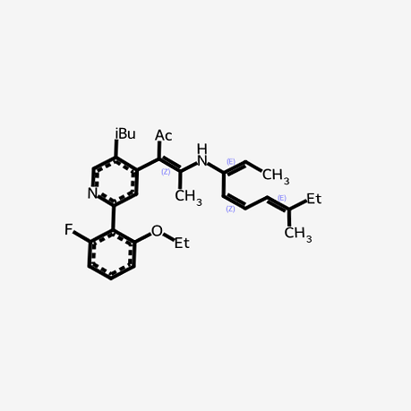 C\C=C(/C=C\C=C(/C)CC)N/C(C)=C(\C(C)=O)c1cc(-c2c(F)cccc2OCC)ncc1C(C)CC